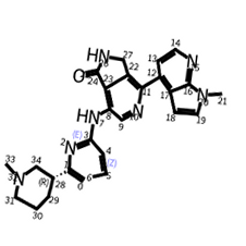 C=C(/N=C(\C=C/C)Nc1cnc(-c2ccnc3c2ccn3C)c2c1C(=O)NC2)[C@@H]1CCCN(C)C1